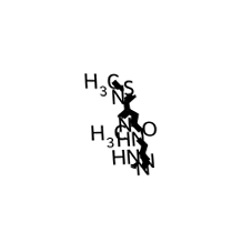 Cc1nc(-c2cc(C(=O)NCc3nnc[nH]3)n(C)c2)cs1